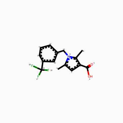 Cc1cc(C(=O)O)c(C)n1Cc1cccc(C(F)(F)F)c1